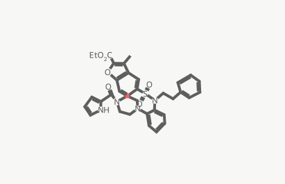 CCOC(=O)c1oc2ccc(S(=O)(=O)N(CCc3ccccc3)c3ccccc3N3CCN(C(=O)c4ccc[nH]4)CC3)cc2c1C